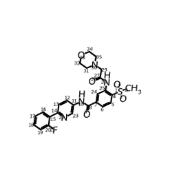 CS(=O)(=O)c1ccc(C(=O)Nc2ccc(-c3ccccc3F)nc2)cc1NC(=O)CN1CCOCC1